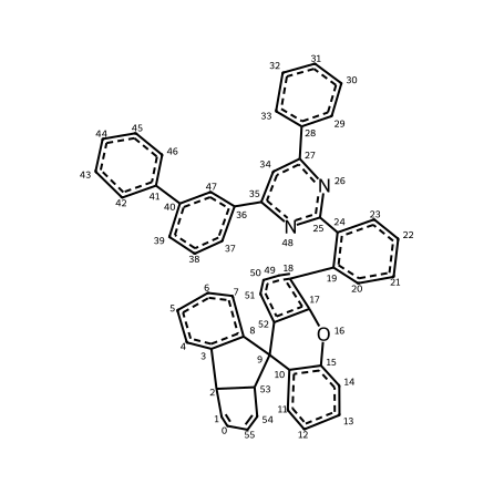 C1=CC2c3ccccc3C3(c4ccccc4Oc4c(-c5ccccc5-c5nc(-c6ccccc6)cc(-c6cccc(-c7ccccc7)c6)n5)cccc43)C2C=C1